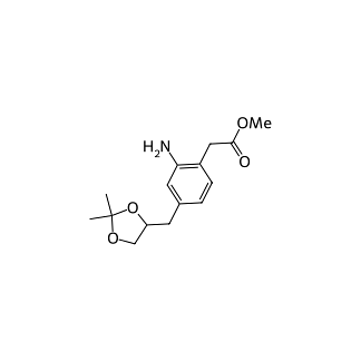 COC(=O)Cc1ccc(CC2COC(C)(C)O2)cc1N